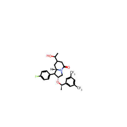 CC(O)C1CC(=O)N2C[C@H](O[C@H](C)c3cc(C(F)(F)F)cc(C(F)(F)F)c3)C(c3ccc(F)cc3)[C@@H]2C1